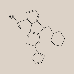 NC(=O)c1cccc2c1c1[c]cc(-c3cccs3)cc1n2CC1CCCCC1